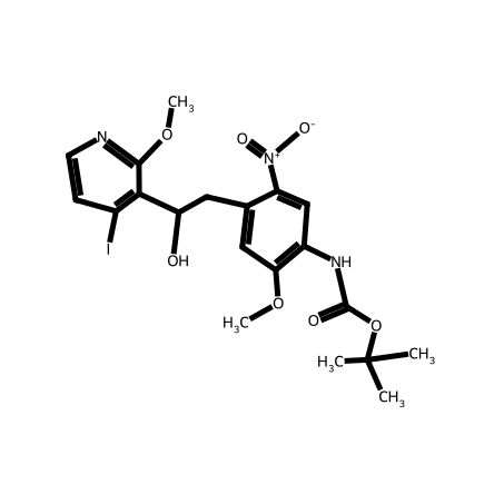 COc1cc(CC(O)c2c(I)ccnc2OC)c([N+](=O)[O-])cc1NC(=O)OC(C)(C)C